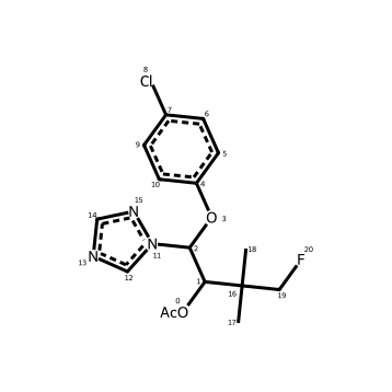 CC(=O)OC(C(Oc1ccc(Cl)cc1)n1cncn1)C(C)(C)CF